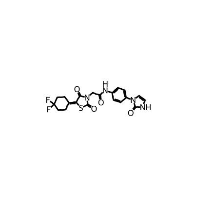 O=C(CN1C(=O)SC(=C2CCC(F)(F)CC2)C1=O)Nc1ccc(-n2cc[nH]c2=O)cc1